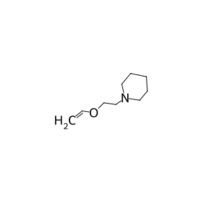 C=COCCN1CCCCC1